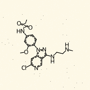 CNCCNc1nn(-c2ccc(NS(C)(=O)=O)cc2OC)c2cc(Cl)ncc12